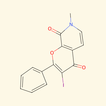 Cn1ccc2c(=O)c(I)c(-c3ccccc3)oc2c1=O